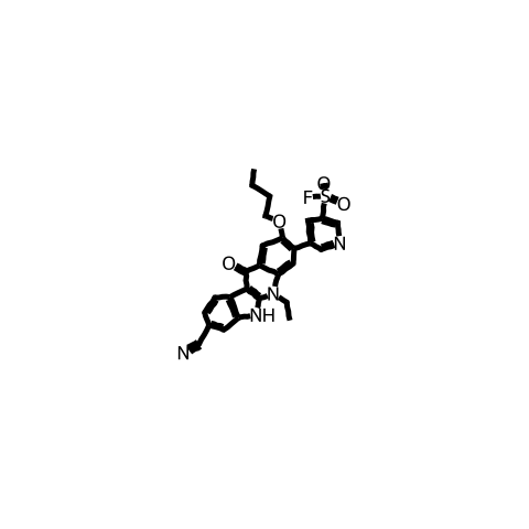 CCCCOc1cc2c(=O)c3c4ccc(C#N)cc4[nH]c3n(CC)c2cc1-c1cncc(S(=O)(=O)F)c1